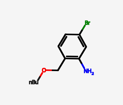 CCCCOCc1ccc(Br)cc1N